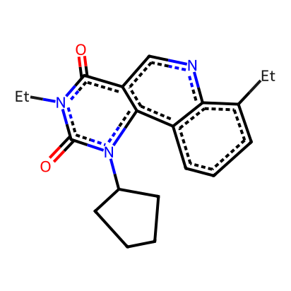 CCc1cccc2c1ncc1c(=O)n(CC)c(=O)n(C3CCCC3)c12